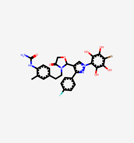 Cc1cc(CCN2C(=O)COC2c2cn(-c3c(O)c(O)c(Br)c(O)c3O)nc2-c2ccc(F)cc2)ccc1NC(N)=O